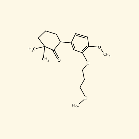 COCCCOc1cc(C2CCCC(C)(C)C2=O)ccc1OC